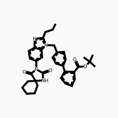 CCCc1nc2ccc(N3C(=O)NC4(CCCCC4)C3=O)cc2n1Cc1ccc(-c2ccccc2C(=O)OC(C)(C)C)cc1